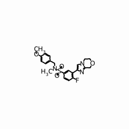 COc1ccc(CN(C)S(=O)(=O)c2ccc(F)c(-c3cn4c(n3)COCC4)c2)cc1